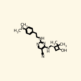 CN(C)c1ccc(CCNc2ncc(C#N)c(NC[C@@H]3C[C@H](O)C3(C)C)n2)cc1